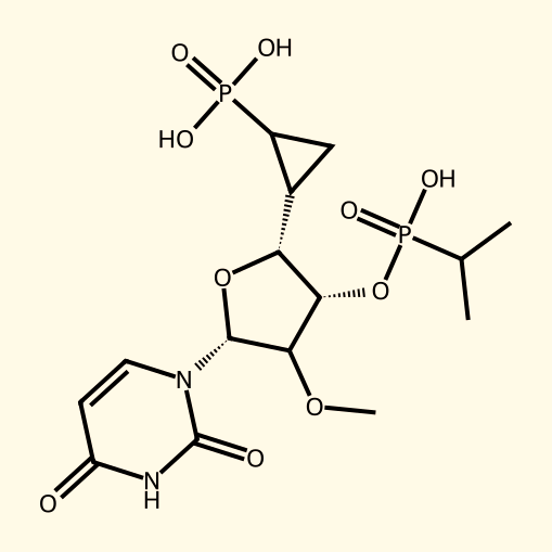 COC1[C@@H](OP(=O)(O)C(C)C)[C@@H](C2CC2P(=O)(O)O)O[C@H]1n1ccc(=O)[nH]c1=O